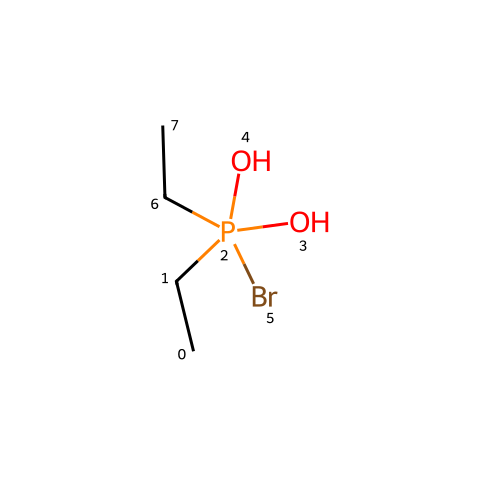 CCP(O)(O)(Br)CC